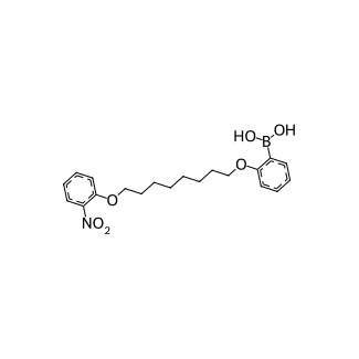 O=[N+]([O-])c1ccccc1OCCCCCCCCOc1ccccc1B(O)O